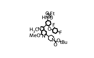 CCS(=O)(=O)Nc1ccc(Oc2ccc(F)cc2F)c(-c2cn(C)c3c(OC)nc(C4CCN(C(=O)OC(C)(C)C)CC4)cc23)c1